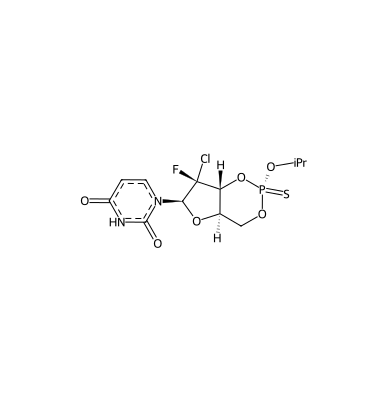 CC(C)O[P@]1(=S)OC[C@H]2O[C@@H](n3ccc(=O)[nH]c3=O)[C@](F)(Cl)[C@@H]2O1